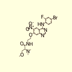 COCC(C(=O)NCCOc1cc2ncnc(Nc3ccc(Br)cc3F)c2cc1[N+](=O)[O-])N(C)C